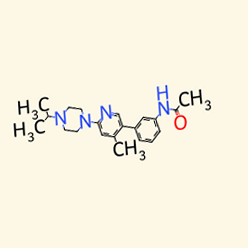 CC(=O)Nc1cccc(-c2cnc(N3CCN(C(C)C)CC3)cc2C)c1